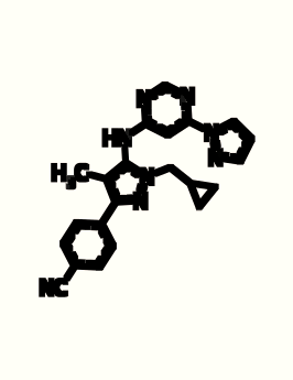 Cc1c(-c2ccc(C#N)cc2)nn(CC2CC2)c1Nc1cc(-n2cccn2)ncn1